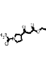 BC(=O)N1CCC(C(=O)CC(=O)OCC)C1